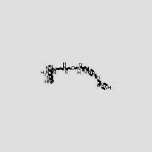 Nc1ncnc2c1c(-c1cnc3[nH]ccc3c1)nn2CCCCNC(=O)CCOCCNC(=O)c1cnc(N2CCN(CCOCCC(=O)N3CCNCC3)CC2)nc1